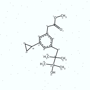 COC(=O)Cc1cc(CC(C)(C)[Si](C)(C)O)cc(C2CC2)c1